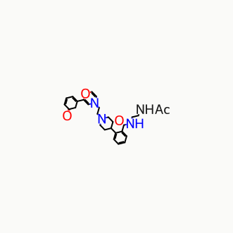 CC(=O)NCCNC(=O)c1ccccc1C1CCN(CCN2C=COC(C3=CC=CC(=O)C3)=C2)CC1